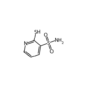 NS(=O)(=O)c1cccnc1S